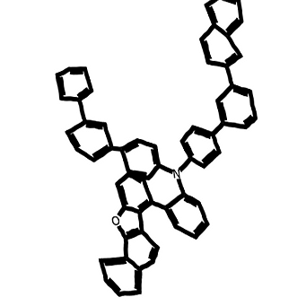 c1ccc(-c2cccc(-c3ccc(N(c4ccc(-c5cccc(-c6ccc7ccccc7c6)c5)cc4)c4ccccc4-c4cccc5oc6c7ccccc7ccc6c45)cc3)c2)cc1